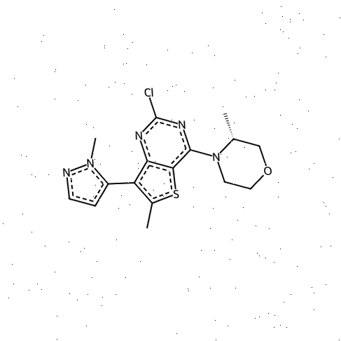 Cc1sc2c(N3CCOC[C@H]3C)nc(Cl)nc2c1-c1ccnn1C